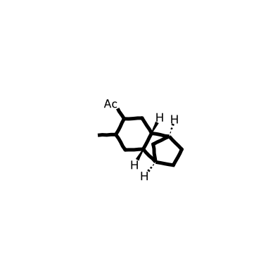 CC(=O)C1C[C@@H]2[C@H]3CC[C@H](C3)[C@@H]2CC1C